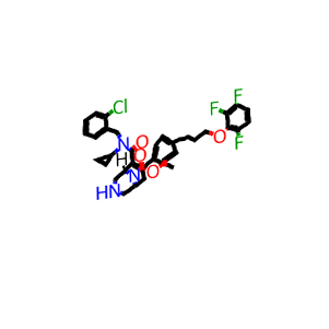 CCOC(=O)N1C2CNC[C@@H]1C(C(=O)N(Cc1ccccc1Cl)C1CC1)=C(c1ccc(CCCOc3c(F)ccc(F)c3F)cc1)C2